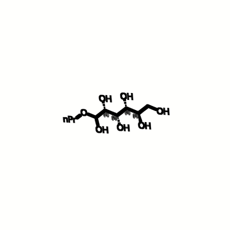 CCCOC(O)[C@H](O)[C@@H](O)[C@H](O)[C@H](O)CO